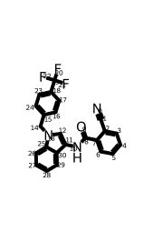 N#Cc1ccccc1C(=O)Nc1cn(Cc2ccc(C(F)(F)F)cc2)c2ccccc12